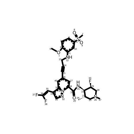 COc1ccc(S(C)(=O)=O)cc1NCC#Cc1cc(C(=O)N[C@@H]2[C@@H](C)CN(C)C[C@@H]2F)n2ncc(C=C(F)F)c2c1